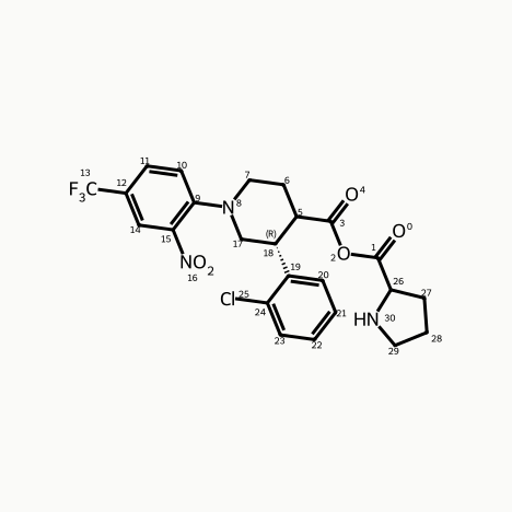 O=C(OC(=O)C1CCN(c2ccc(C(F)(F)F)cc2[N+](=O)[O-])C[C@H]1c1ccccc1Cl)C1CCCN1